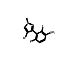 Cn1cc(Br)c(-c2c(F)ccc(N)c2F)n1